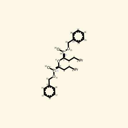 CC(C)CC/C(O/C(CCC(C)C)=[P+](\[O-])OCc1ccccc1)=[P+](/[O-])OCc1ccccc1